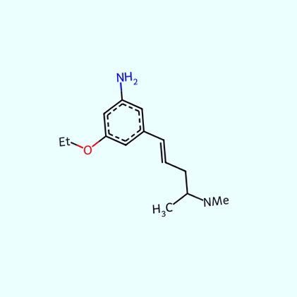 CCOc1cc(N)cc(C=CCC(C)NC)c1